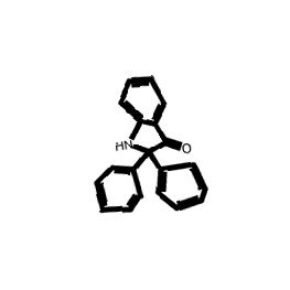 O=C1c2ccccc2NC1(c1ccccc1)c1ccccc1